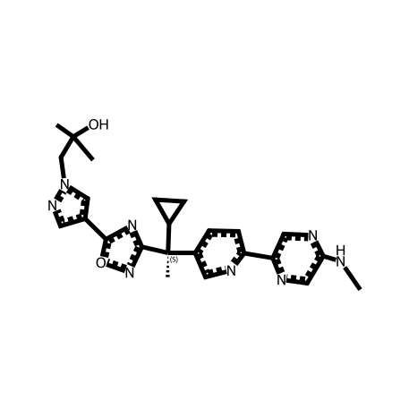 CNc1cnc(-c2ccc([C@@](C)(c3noc(-c4cnn(CC(C)(C)O)c4)n3)C3CC3)cn2)cn1